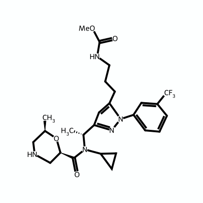 COC(=O)NCCCc1cc([C@@H](C)N(C(=O)[C@H]2CNC[C@@H](C)O2)C2CC2)nn1-c1cccc(C(F)(F)F)c1